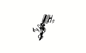 CCOC(=O)C(C)(C)COS(=O)(=O)ON(C(N)=O)[C@H]1CC[C@H](C(N)=O)CC1